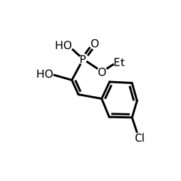 CCOP(=O)(O)C(O)=Cc1cccc(Cl)c1